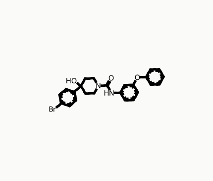 O=C(Nc1cccc(Oc2ccccc2)c1)N1CCC(O)(c2ccc(Br)cc2)CC1